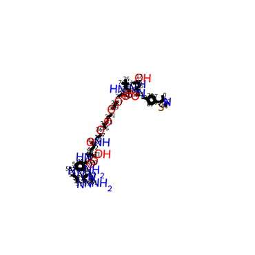 Cc1ncsc1-c1ccc(CNC(=O)C2C[C@@H](O)CN2C(=O)C(NC(=O)COCCOCCOCCOCCNC(=O)CC[C@H](NC(=O)c2ccc(N(C)Cc3cnc4nc(N)nc(N)c4n3)cc2)C(=O)O)C(C)(C)C)cc1